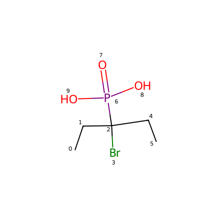 CCC(Br)(CC)P(=O)(O)O